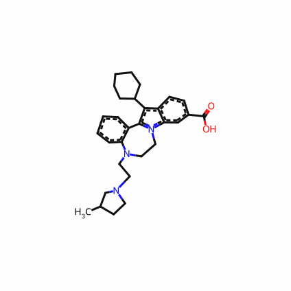 CC1CCN(CCN2CCn3c(c(C4CCCCC4)c4ccc(C(=O)O)cc43)-c3ccccc32)C1